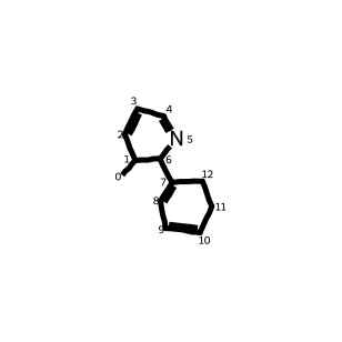 CC1C=CC=NC1C1=CC=CCC1